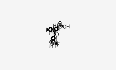 C[NH+]([O-])c1ccc(C(=O)Nc2cnc(NS(=O)(=O)CCO)cc2N2CCC3(CC2)CC3)nc1N1CC(F)(F)C1